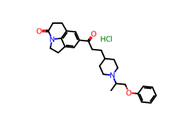 CC(COc1ccccc1)N1CCC(CCC(=O)c2cc3c4c(c2)CCN4C(=O)CC3)CC1.Cl